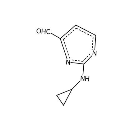 O=Cc1ccnc(NC2CC2)n1